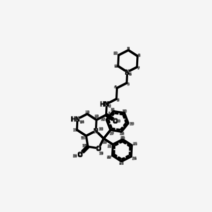 O=C(NCCCN1CCCCC1)C1CNCC2C(=O)OC(c3ccccc3)(c3ccccc3)N12